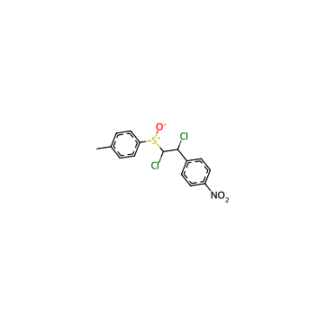 Cc1ccc([S+]([O-])C(Cl)C(Cl)c2ccc([N+](=O)[O-])cc2)cc1